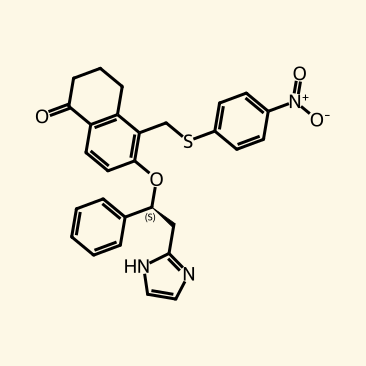 O=C1CCCc2c1ccc(O[C@@H](Cc1ncc[nH]1)c1ccccc1)c2CSc1ccc([N+](=O)[O-])cc1